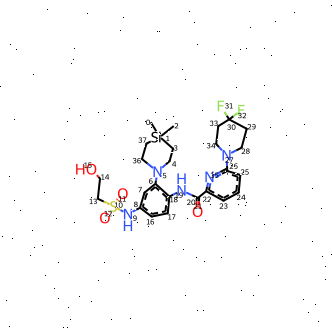 C[Si]1(C)CCN(c2cc(NS(=O)(=O)CCO)ccc2NC(=O)c2cccc(N3CCC(F)(F)CC3)n2)CC1